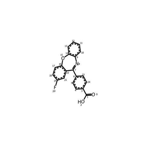 O=C(O)c1ccc(C2=Nc3ccccc3Oc3ccc(F)cc32)cc1